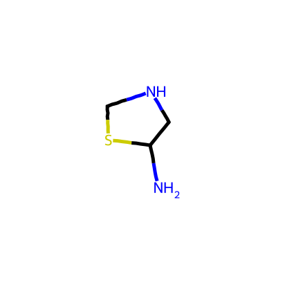 NC1CNCS1